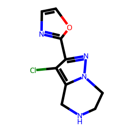 Clc1c(-c2ncco2)nn2c1CNCC2